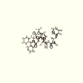 CC(C)OC(=O)[C@H](O)[C@H](CC1CCCCC1)N(CC1CCCCC1)C(=O)[C@@H](CC(=O)NCC(=O)N(C)CCc1ccccn1)Cc1nccs1